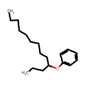 CCCCCCCCCC(CCC)Oc1[c]cccc1